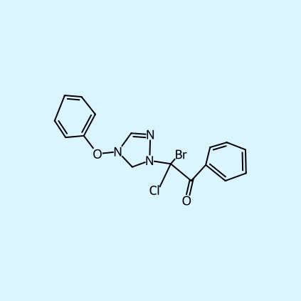 O=C(c1ccccc1)C(Cl)(Br)N1CN(Oc2ccccc2)C=N1